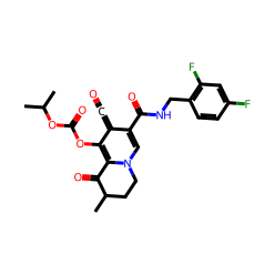 CC(C)OC(=O)OC1=C2C(=O)C(C)CCN2C=C(C(=O)NCc2ccc(F)cc2F)C1=C=O